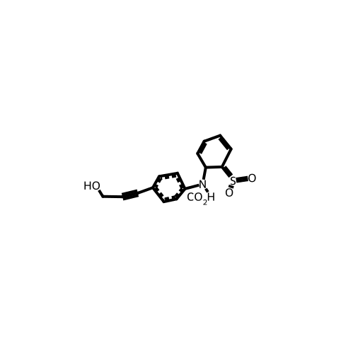 O=C(O)N(c1ccc(C#CCO)cc1)C1C=CC=CC1=S(=O)=O